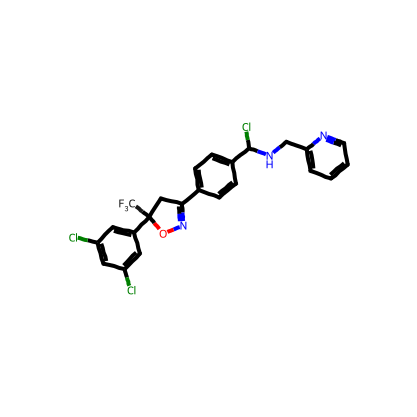 FC(F)(F)C1(c2cc(Cl)cc(Cl)c2)CC(c2ccc(C(Cl)NCc3ccccn3)cc2)=NO1